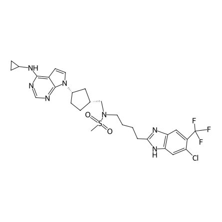 CS(=O)(=O)N(CCCCc1nc2cc(C(F)(F)F)c(Cl)cc2[nH]1)C[C@@H]1CC[C@H](n2ccc3c(NC4CC4)ncnc32)C1